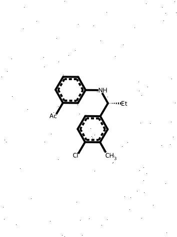 CC[C@@H](Nc1cccc(C(C)=O)c1)c1ccc(Cl)c(C)c1